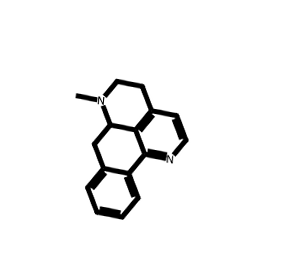 CN1CCc2ccnc3c2C1Cc1ccccc1-3